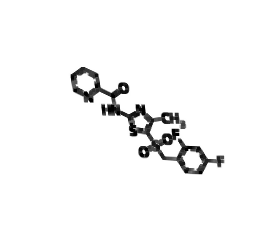 Cc1nc(NC(=O)c2ccccn2)sc1S(=O)(=O)Cc1ccc(F)cc1F